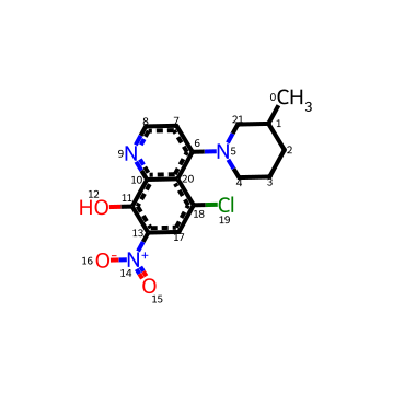 CC1CCCN(c2ccnc3c(O)c([N+](=O)[O-])cc(Cl)c23)C1